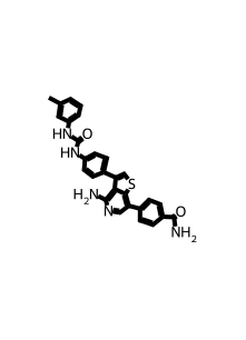 Cc1cccc(NC(=O)Nc2ccc(-c3csc4c(-c5ccc(C(N)=O)cc5)cnc(N)c34)cc2)c1